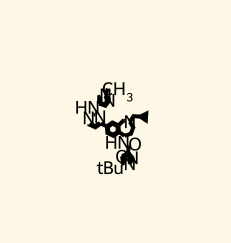 Cn1cc(Nc2nccc(-c3ccc4c(c3)CN(CC3CC3)CCC4NC(=O)c3nnc(C(C)(C)C)o3)n2)cn1